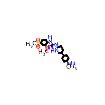 CNc1ccc(-c2cc/c(=N/C(=N)Nc3ccc(S(C)(=O)=O)cc3OC)[nH]c2)cc1